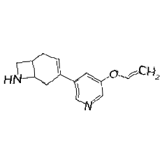 C=COc1cncc(C2=CCC3CNC3C2)c1